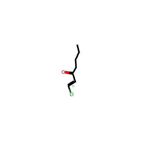 CCCCC(=O)/C=C/Cl